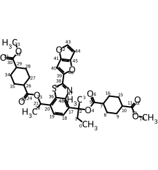 CCC(C)(OC(=O)C1CCC(C(=O)OC)CC1)c1ccc(C(C)OC(=O)C2CCC(C(=O)OC)CC2)c2sc(-c3cc4occc4o3)nc12